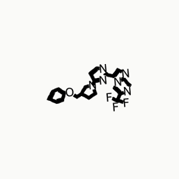 FC(F)(F)c1cn2c(-c3nccc(N4CCC(COc5ccccc5)C4)n3)cnc2cn1